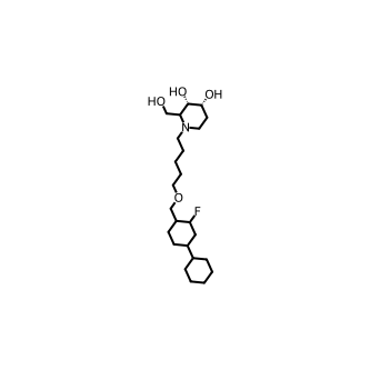 OCC1[C@H](O)[C@H](O)CCN1CCCCCOCC1CCC(C2CCCCC2)CC1F